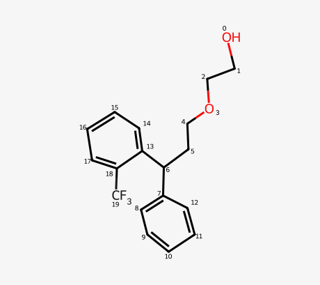 OCCOCCC(c1ccccc1)c1ccccc1C(F)(F)F